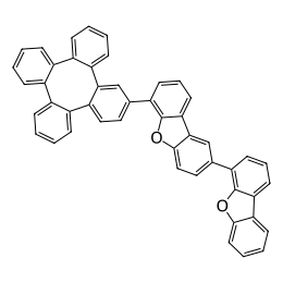 c1ccc2c(c1)-c1ccccc1-c1ccc(-c3cccc4c3oc3ccc(-c5cccc6c5oc5ccccc56)cc34)cc1-c1ccccc1-2